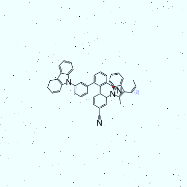 C/C=C\c1c(C)n(C2C=C(C#N)C=CC2c2c(C#N)cccc2-c2cccc(-n3c4c(c5ccccc53)CCC=C4)c2)c2ccccc12